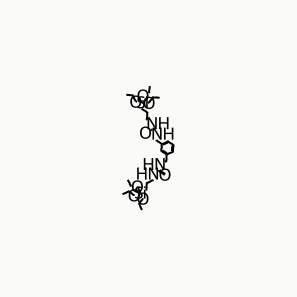 CCO[Si](CCCNC(=O)NCc1cccc(CNC(=O)NCCC[Si](OCC)(OCC)OCC)c1)(OCC)OCC